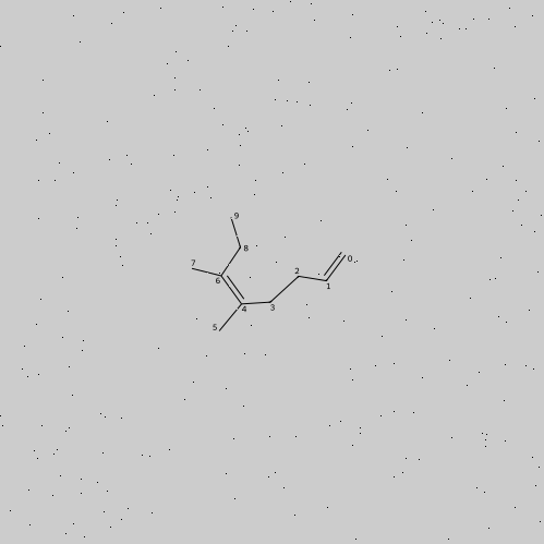 C=CCCC(C)=C(C)CC